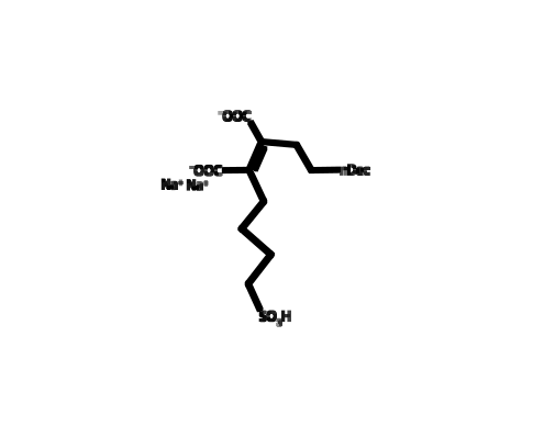 CCCCCCCCCCCCC(C(=O)[O-])=C(CCCCS(=O)(=O)O)C(=O)[O-].[Na+].[Na+]